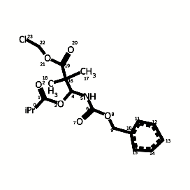 CC(C)C(=O)OC(NC(=O)OCc1ccccc1)C(C)(C)C(=O)OCCl